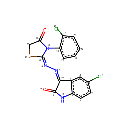 O=C1Nc2ccc(Cl)cc2C1=NN=C1SCC(=O)N1c1ccccc1Cl